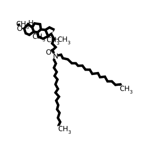 CCCCCCCCCCCCCCCCCCN(CCCCCCCCCCCCCCCCCC)C(=O)CC[C@@H](C)[C@H]1CCC2C3CC[C@@H]4C[C@H](OC)CC[C@]4(C)C3CC[C@@]21C